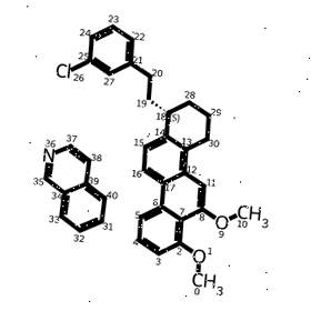 COc1cccc2c1c(OC)cc1c3c(ccc12)[C@H](CCc1cccc(Cl)c1)CCC3.c1ccc2cnccc2c1